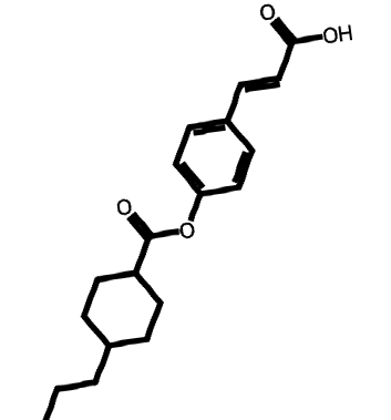 CCCC1CCC(C(=O)Oc2ccc(C=CC(=O)O)cc2)CC1